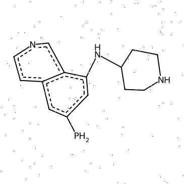 Pc1cc(NC2CCNCC2)c2cnccc2c1